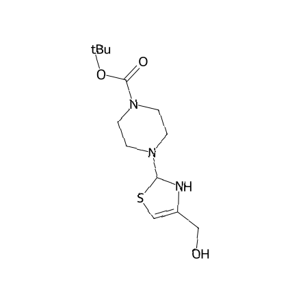 CC(C)(C)OC(=O)N1CCN(C2NC(CO)=CS2)CC1